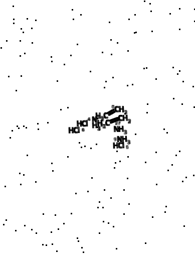 C=C.C=C.Cl.Cl.Cl.N.N.N